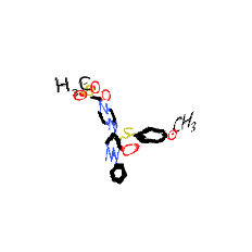 COc1ccc(Sc2c(N3CCN(C(=O)CS(C)(=O)=O)CC3)cnn(-c3ccccc3)c2=O)cc1